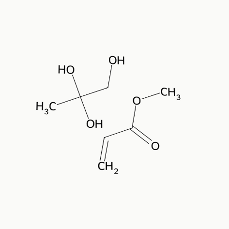 C=CC(=O)OC.CC(O)(O)CO